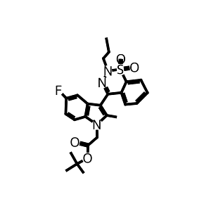 CCCN1N=C(c2c(C)n(CC(=O)OC(C)(C)C)c3ccc(F)cc23)c2ccccc2S1(=O)=O